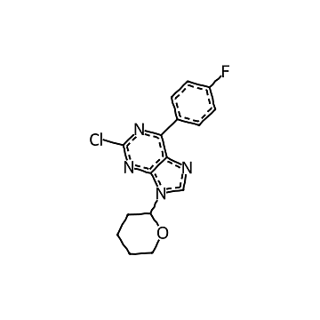 Fc1ccc(-c2nc(Cl)nc3c2ncn3C2CCCCO2)cc1